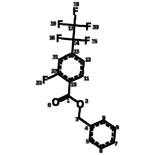 O=C(OCc1ccccc1)c1ccc(C(F)(F)C(F)(F)F)cc1F